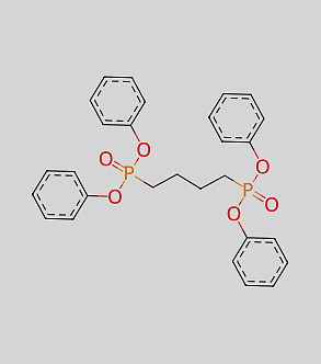 O=P(CCCCP(=O)(Oc1ccccc1)Oc1ccccc1)(Oc1ccccc1)Oc1ccccc1